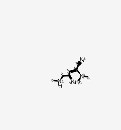 CNCC(=N)/C=C(/C#N)N(C)C